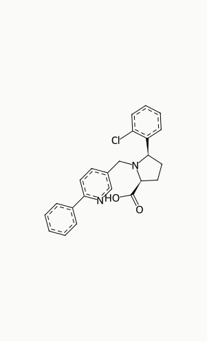 O=C(O)[C@@H]1CC[C@H](c2ccccc2Cl)N1Cc1ccc(-c2ccccc2)nc1